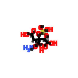 N.O=C(O)CC(CC(=O)O)(OS(=O)(=O)O)C(=O)O